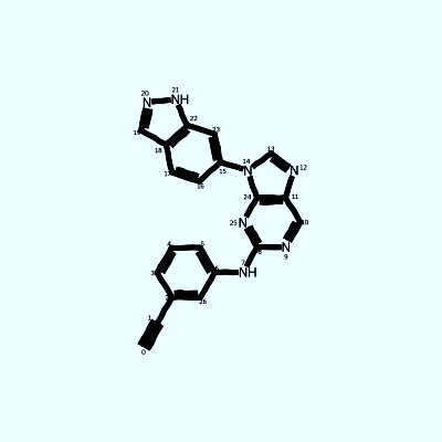 C#Cc1cccc(Nc2ncc3ncn(-c4ccc5cn[nH]c5c4)c3n2)c1